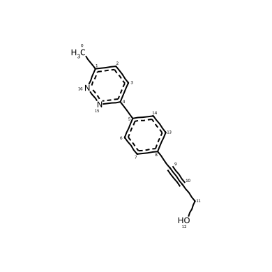 Cc1ccc(-c2ccc(C#CCO)cc2)nn1